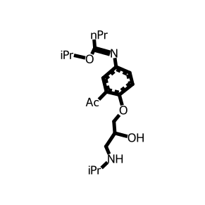 CCC/C(=N/c1ccc(OCC(O)CNC(C)C)c(C(C)=O)c1)OC(C)C